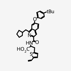 C=Cc1ccc(CC(NC(=O)c2cc3ccc(Oc4ccc(C(C)(C)C)cc4)cc3c(CC3CCCC3)n2)C(=O)O)s1